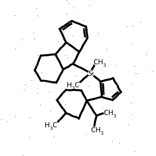 CC1CCCC(C2=C([Si](C)(C)C3C4C=CC=CC4C4CCCCC43)CC=C2)(C(C)C)C1